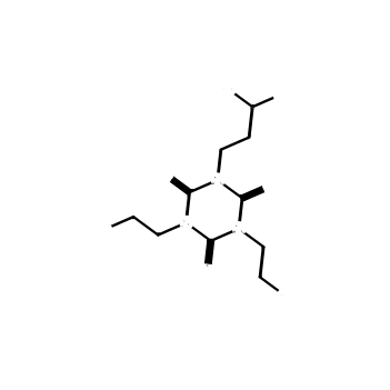 O=C(O)CCn1c(=O)n(CCC(=O)O)c(=O)n(CCC(O)O)c1=O